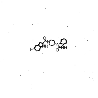 O=C(c1cc2cc(F)ccc2[nH]1)N1CCC(n2c(=O)[nH]c3ccccc32)CC1